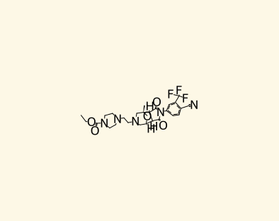 CCOC(=O)N1CCN(CCN2C[C@H]3O[C@](C)(C2)[C@@H]2C(=O)N(c4ccc(C#N)c(C(F)(F)F)c4)C(=O)[C@@H]23)CC1